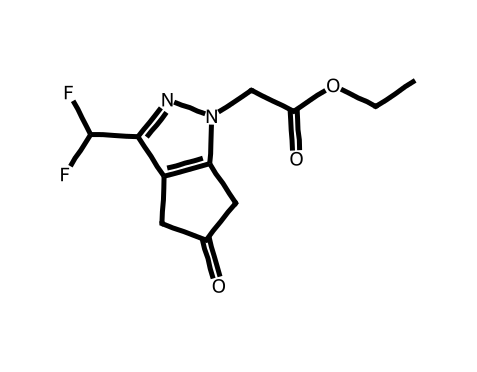 CCOC(=O)Cn1nc(C(F)F)c2c1CC(=O)C2